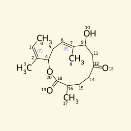 C/C=C(/C)C1C/C=C(\C)C(O)CC(=O)CCC(C)C(=O)O1